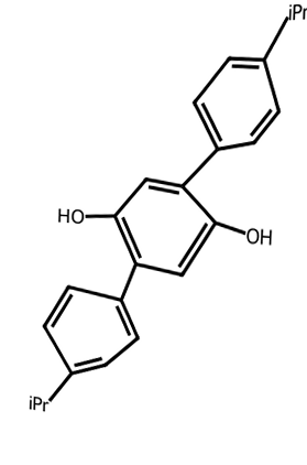 CC(C)c1ccc(-c2cc(O)c(-c3ccc(C(C)C)cc3)cc2O)cc1